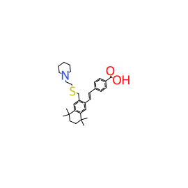 CC1(C)CCC(C)(C)c2cc(CSCCN3CCCCC3)c(/C=C/c3ccc(C(=O)O)cc3)cc21